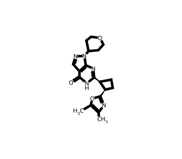 Cc1nc([C@@H]2CC[C@@H]2c2nc3c(cnn3C3CCOCC3)c(=O)[nH]2)oc1C